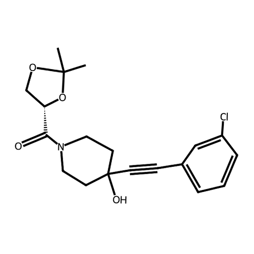 CC1(C)OC[C@@H](C(=O)N2CCC(O)(C#Cc3cccc(Cl)c3)CC2)O1